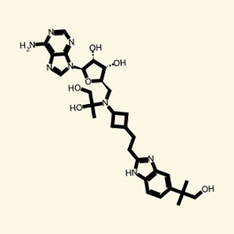 CC(C)(CO)c1ccc2[nH]c(CCC3CC(N(C[C@H]4O[C@@H](n5cnc6c(N)ncnc65)[C@H](O)[C@@H]4O)C(C)(O)CO)C3)nc2c1